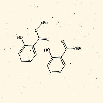 CC(C)COC(=O)c1ccccc1O.CCCCOC(=O)c1ccccc1O